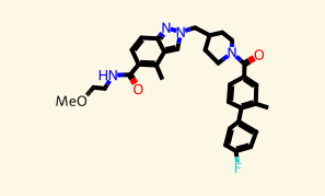 COCCNC(=O)c1ccc2nn(CC3CCN(C(=O)c4ccc(-c5ccc(F)cc5)c(C)c4)CC3)cc2c1C